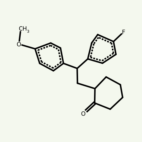 COc1ccc(C(CC2CCCCC2=O)c2ccc(F)cc2)cc1